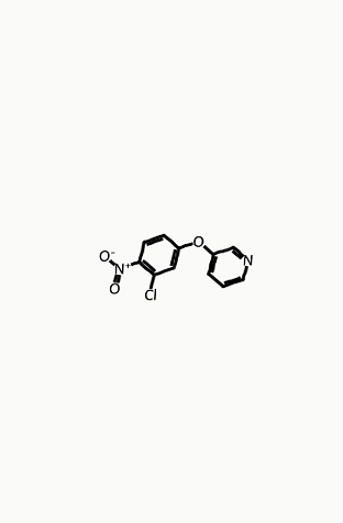 O=[N+]([O-])c1ccc(Oc2cccnc2)cc1Cl